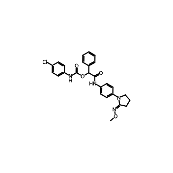 CON=C1CCCN1c1ccc(NC(=O)C(OC(=O)Nc2ccc(Cl)cc2)c2ccccc2)cc1